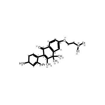 CCCC1=CC(N)CC=C1C1=C(C)C(C)(C)c2cc(OCCN(CC)CC)ccc2C1=O